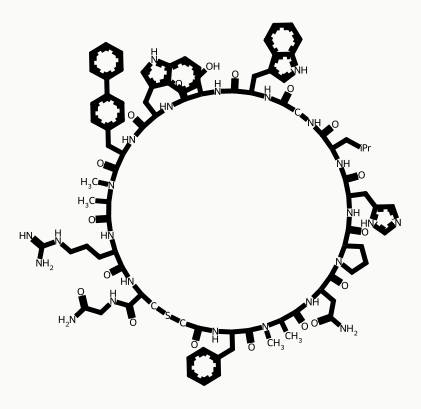 CC(C)CC1NC(=O)C(Cc2cnc[nH]2)NC(=O)C2CCCN2C(=O)C(CC(N)=O)NC(=O)C(C)N(C)C(=O)C(Cc2ccccc2)NC(=O)CSCC(C(=O)NCC(N)=O)NC(=O)C(CCCNC(=N)N)NC(=O)C(C)N(C)C(=O)C(Cc2ccc(-c3ccccc3)cc2)NC(=O)C(Cc2c[nH]c3ccccc23)NC(=O)C(CO)NC(=O)C(Cc2c[nH]c3ccccc23)NC(=O)CNC1=O